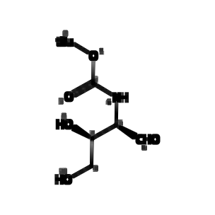 CC(C)(C)OC(=O)N[C@@H](C=O)[C@H](O)CO